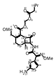 COCC1=C(C(=O)OCOC(=O)CC(C)C)N2C(=O)C(NC(=O)C(=NOC)c3csc(N)n3)[C@@H]2SC1